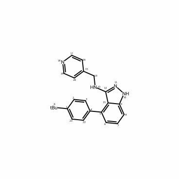 CC(C)(C)c1ccc(-c2cccc3[nH]nc(NCc4ccncc4)c23)cc1